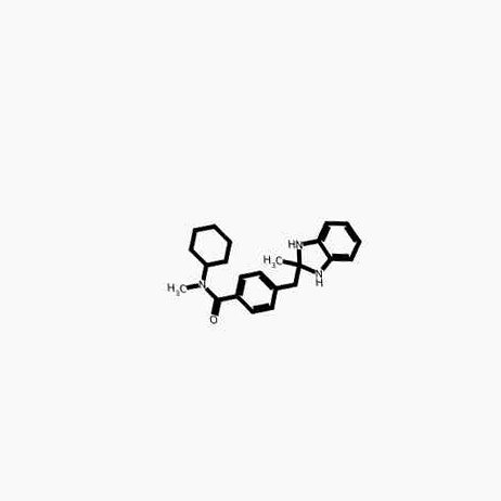 CN(C(=O)c1ccc(CC2(C)Nc3ccccc3N2)cc1)C1CCCCC1